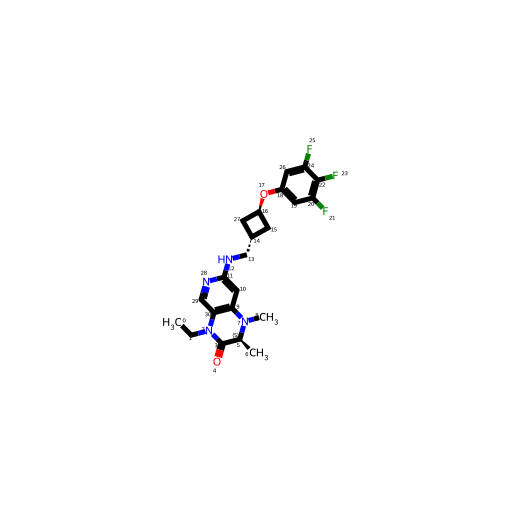 CCN1C(=O)[C@H](C)N(C)c2cc(NC[C@H]3C[C@H](Oc4cc(F)c(F)c(F)c4)C3)ncc21